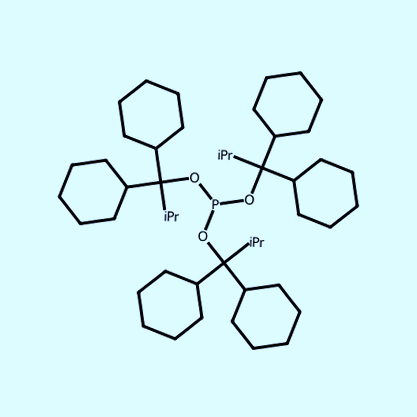 CC(C)C(OP(OC(C(C)C)(C1CCCCC1)C1CCCCC1)OC(C(C)C)(C1CCCCC1)C1CCCCC1)(C1CCCCC1)C1CCCCC1